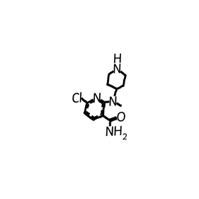 CN(c1nc(Cl)ccc1C(N)=O)C1CCNCC1